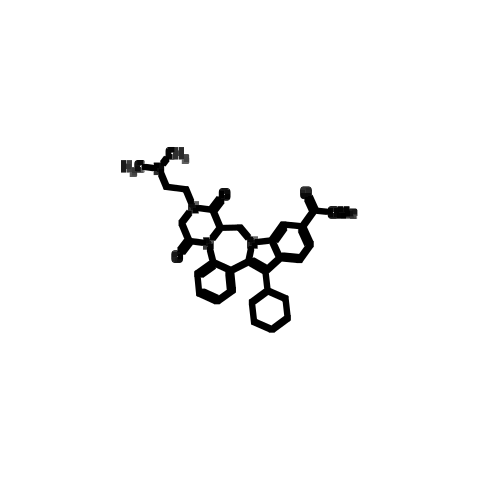 COC(=O)c1ccc2c(C3CCCCC3)c3n(c2c1)CC1C(=O)N(CCN(C)C)CC(=O)N1c1ccccc1-3